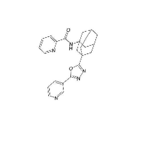 O=C(NC12CC3CC(C1)CC(c1nnc(-c4cccnc4)o1)(C3)C2)c1ccccn1